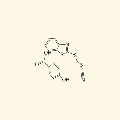 N#CSCSc1nc2ccccc2s1.O=C(O)c1ccc(O)cc1